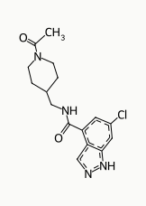 CC(=O)N1CCC(CNC(=O)c2cc(Cl)cc3[nH]ncc23)CC1